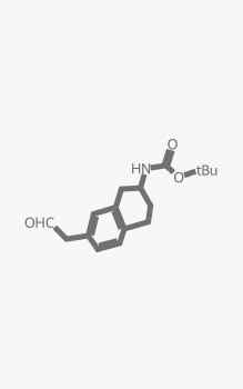 CC(C)(C)OC(=O)NC1CCc2ccc(CC=O)cc2C1